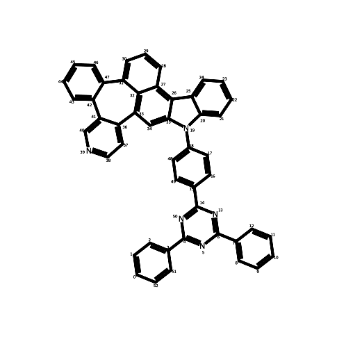 c1ccc(-c2nc(-c3ccccc3)nc(-c3ccc(-n4c5ccccc5c5c6cccc7c6c(cc54)-c4ccncc4-c4ccccc4-7)cc3)n2)cc1